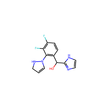 OC(c1ncc[nH]1)c1ccc(F)c(F)c1N1C=CCN1